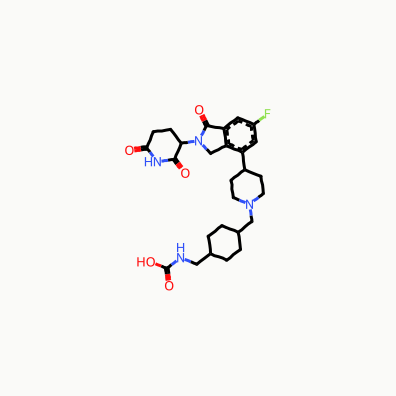 O=C(O)NCC1CCC(CN2CCC(c3cc(F)cc4c3CN(C3CCC(=O)NC3=O)C4=O)CC2)CC1